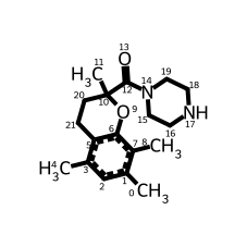 Cc1cc(C)c2c(c1C)OC(C)(C(=O)N1CCNCC1)CC2